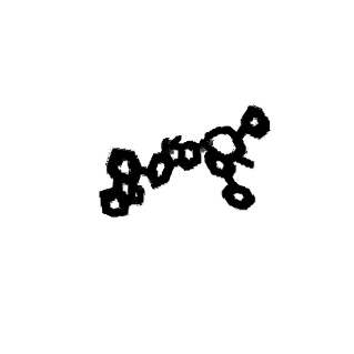 C=C1/C=C(c2ccccc2)\C=C/CN(c2ccc3c(c2)[Si](C)(C)c2cc(-c4cccc5c4oc4ccccc45)ccc2-3)c2ccc(-c3ccccc3)cc21